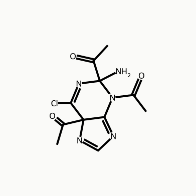 CC(=O)N1C2=NC=NC2(C(C)=O)C(Cl)=NC1(N)C(C)=O